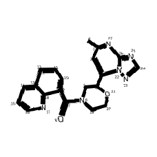 Cc1cc(C2CN(C(=O)c3cccc4cccnc34)CCO2)n2ncnc2n1